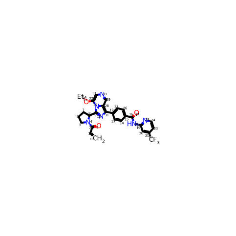 C=CC(=O)N1CCCC1c1nc(-c2ccc(C(=O)Nc3cc(C(F)(F)F)ccn3)cc2)c2cncc(OCC)n12